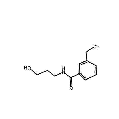 CC(C)Cc1cccc(C(=O)NCCCO)c1